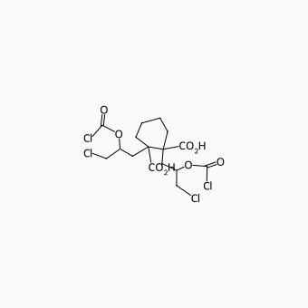 O=C(Cl)OC(CCl)CC1(C(=O)O)CCCCC1(CC(CCl)OC(=O)Cl)C(=O)O